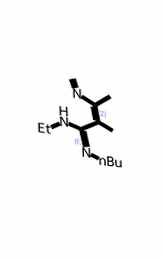 C=N/C(C)=C(C)\C(=N/CCCC)NCC